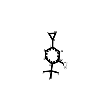 CC(C)(C)c1ccc(C2CC2)cc1Cl